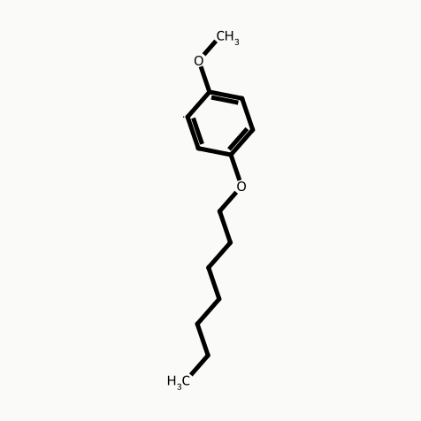 CCCCCCCOc1c[c]c(OC)cc1